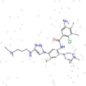 Cc1c(F)c(N)cc(C(=O)Nc2cc(-n3cc(NCCCN(C)C)nn3)c(F)cc2N2C[C@@H](C)N(C)[C@@H](C)C2)c1Cl